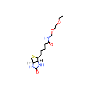 CCOCCOCNC(=O)CCCC[C@@H]1SC[C@@H]2NC(=O)N[C@@H]21